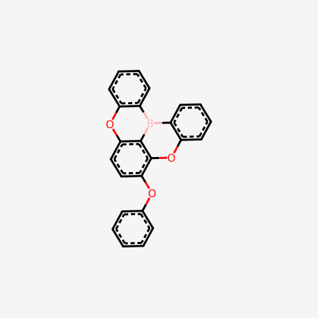 c1ccc(Oc2ccc3c4c2Oc2ccccc2B4c2ccccc2O3)cc1